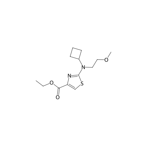 CCOC(=O)c1csc(N(CCOC)C2CCC2)n1